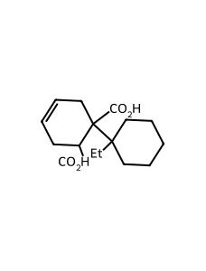 CCC1(C2(C(=O)O)CC=CCC2C(=O)O)CCCCC1